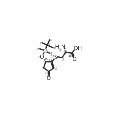 CC(C)(C)[Si](C)(C)O[C@H]1CC(=O)C=C1SC[C@H](N)C(=O)O